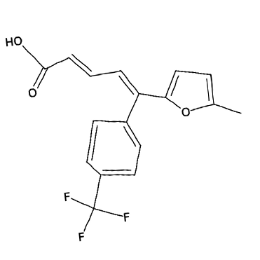 Cc1ccc(/C(=C/C=C/C(=O)O)c2ccc(C(F)(F)F)cc2)o1